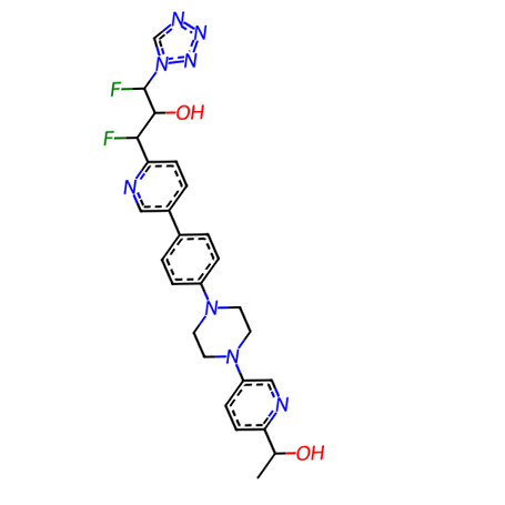 CC(O)c1ccc(N2CCN(c3ccc(-c4ccc(C(F)C(O)C(F)n5cnnn5)nc4)cc3)CC2)cn1